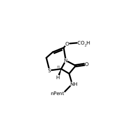 CCCCCNC1C(=O)N2C(OC(=O)O)=CCS[C@@H]12